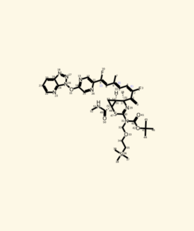 C=C(\C(F)=C/C=C(C)/C=C(\F)c1cnc(On2nnc3cccnc32)cn1)[C@@]1(C)N=C(N(COCC[Si](C)(C)C)C(=O)OC(C)(C)C)S[C@@]2(C(=O)NC)C[C@@H]12